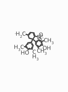 [CH2]C1=CC=C([N+](=O)[O-])C(c2cc(C)c(O)c(C)c2)(c2cc(C)c(O)c(C)c2)C1